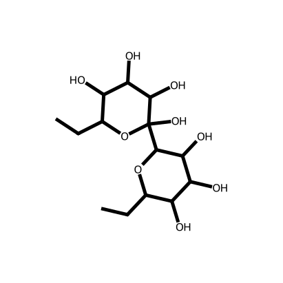 CCC1OC(C2(O)OC(CC)C(O)C(O)C2O)C(O)C(O)C1O